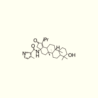 Cc1ccncc1C(=O)NC12CC[C@]3(C)C(CC[C@@H]4C5(C)CC[C@H](O)C(C)(C)C5CC[C@]43C)C1=C(C(C)C)C(=O)C2